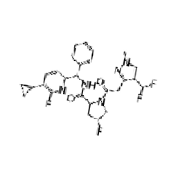 Cn1cc(C(F)F)c(CC(=O)N2CC(F)CC2C(=O)NC(c2ccccc2)c2ccc(C3CC3)c(F)n2)n1